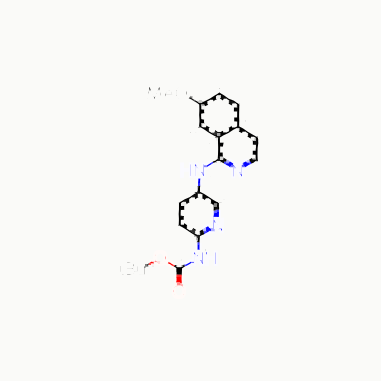 COc1ccc2ccnc(Nc3ccc(NC(=O)OC(C)(C)C)nc3)c2c1